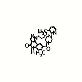 Cc1cc2[nH]c(=O)c3cnn(C4CCOCC4)c3c2cc1C(=O)N1CCN(c2ncccc2C)CC1